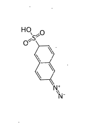 [N-]=[N+]=C1C=CC2=CC(S(=O)(=O)O)C=CC2=C1